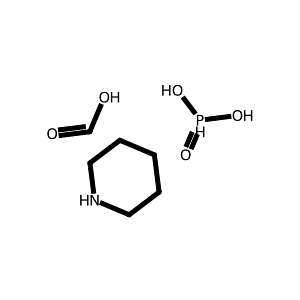 C1CCNCC1.O=CO.O=[PH](O)O